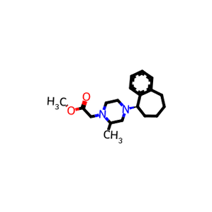 COC(=O)CN1CCN([C@@H]2CCCCc3ccccc32)CC1C